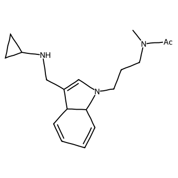 CC(=O)N(C)CCCN1C=C(CNC2CC2)C2C=CC=CC21